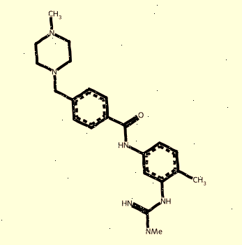 CNC(=N)Nc1cc(NC(=O)c2ccc(CN3CCN(C)CC3)cc2)ccc1C